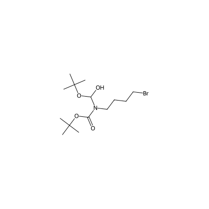 CC(C)(C)OC(=O)N(CCCCBr)C(O)OC(C)(C)C